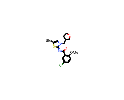 COc1ccc(Cl)cc1C(=O)N=c1sc(C(C)(C)C)cn1CC1CCOC1